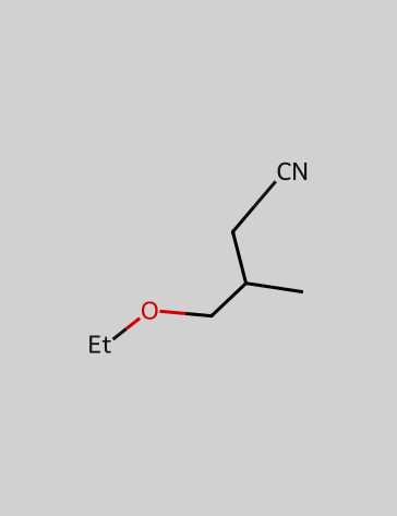 CCOCC(C)CC#N